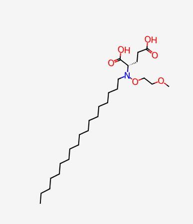 CCCCCCCCCCCCCCCCCCN(OCCOC)[C@@H](CCC(=O)O)C(=O)O